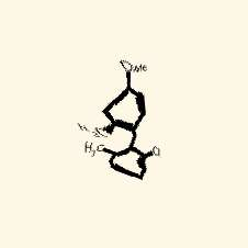 COc1ccc(-c2c(C)[c]ccc2Cl)c(C)c1